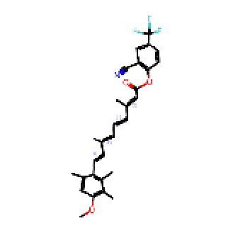 COc1cc(C)c(/C=C/C(C)=C/C=C/C(C)=C/C(=O)Oc2ccc(C(F)(F)F)cc2C#N)c(C)c1C